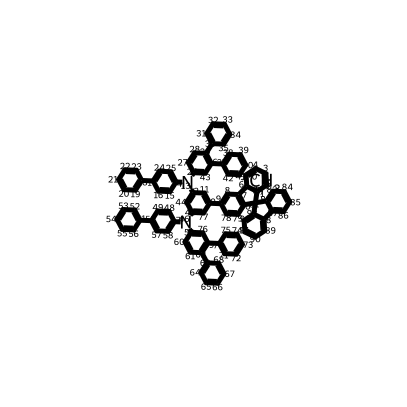 C[C@@]12C=CC=CC1c1cc(-c3cc(N(c4ccc(-c5ccccc5)cc4)c4ccc(-c5ccccc5)c(-c5ccccc5)c4)cc(N(c4ccc(-c5ccccc5)cc4)c4ccc(-c5ccccc5)c(-c5ccccc5)c4)c3)ccc1C21c2ccccc2-c2ccccc21